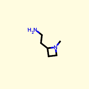 CN1CCC1CCN